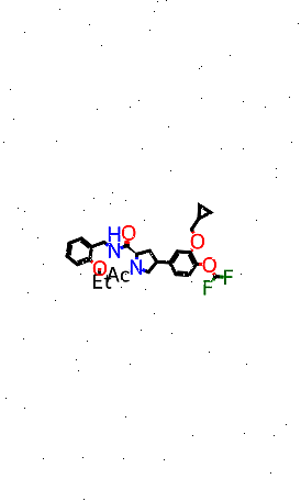 CCOc1ccccc1CNC(=O)[C@H]1CC(c2ccc(OC(F)F)c(OCC3CC3)c2)CN1C(C)=O